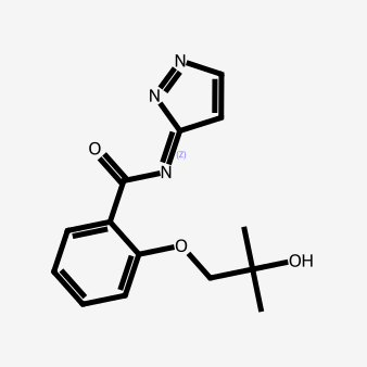 CC(C)(O)COc1ccccc1C(=O)/N=C1/C=CN=N1